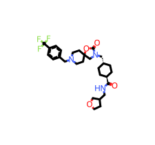 O=C1OC2(CCN(Cc3ccc(C(F)(F)F)cc3)CC2)CN1C[C@H]1CC[C@H](C(=O)NCC2CCOC2)CC1